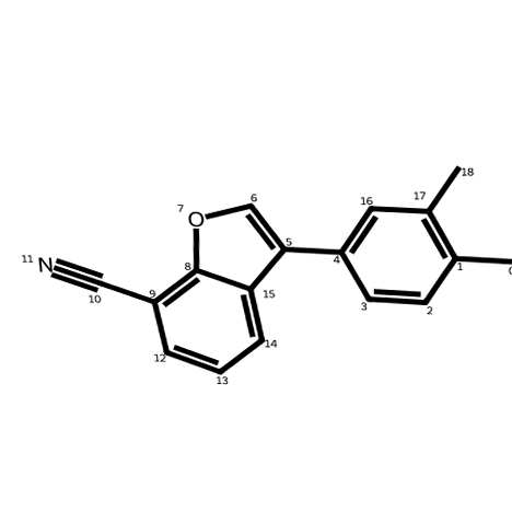 Cc1ccc(-c2coc3c(C#N)cccc23)cc1C